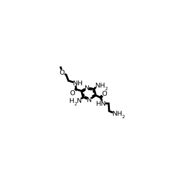 COCCNC(=O)c1nc(N)c(C(=O)NCCN)nc1N